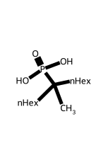 CCCCCCC(C)(CCCCCC)P(=O)(O)O